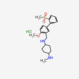 CNC1CCC(NCc2cc(-c3ccccc3S(C)(=O)=O)ccc2OC)CC1.Cl